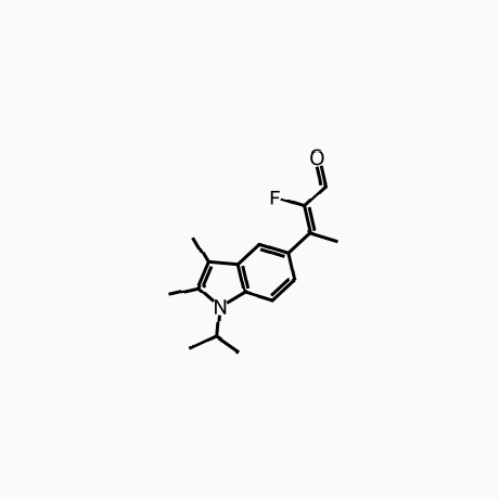 CC(=C(F)C=O)c1ccc2c(c1)c(C)c(C)n2C(C)C